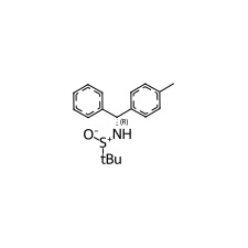 Cc1ccc([C@H](N[S+]([O-])C(C)(C)C)c2ccccc2)cc1